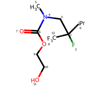 CC(C)C(F)(CN(C)C(=O)OCCO)C(F)(F)F